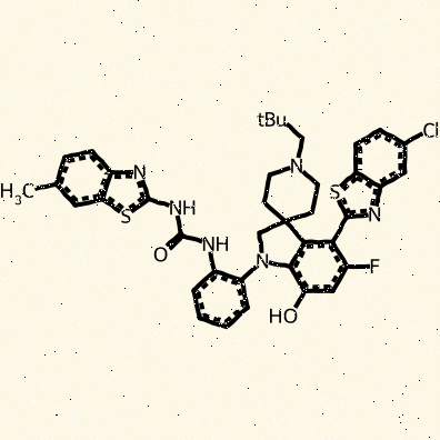 Cc1ccc2nc(NC(=O)Nc3ccccc3N3CC4(CCN(CC(C)(C)C)CC4)c4c(-c5nc6cc(Cl)ccc6s5)c(F)cc(O)c43)sc2c1